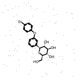 CCc1ccc(Oc2cccc([C@@H]3S[C@H](CO)[C@@H](O)[C@H](O)[C@H]3O)c2)cc1